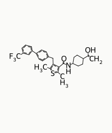 C=C(O)C1CCC(NC(=O)c2c(C)sc(C)c2Cc2ccc(-c3cccc(C(F)(F)F)c3)cc2)CC1